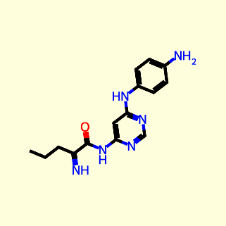 CCCC(=N)C(=O)Nc1cc(Nc2ccc(N)cc2)ncn1